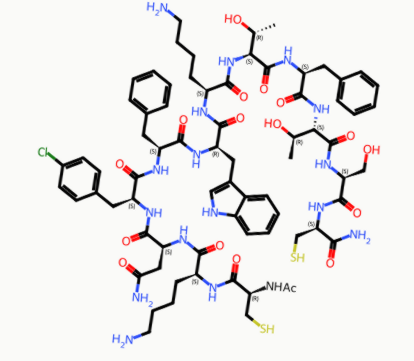 CC(=O)N[C@@H](CS)C(=O)N[C@@H](CCCCN)C(=O)N[C@@H](CC(N)=O)C(=O)N[C@@H](Cc1ccc(Cl)cc1)C(=O)N[C@@H](Cc1ccccc1)C(=O)N[C@H](Cc1c[nH]c2ccccc12)C(=O)N[C@@H](CCCCN)C(=O)N[C@H](C(=O)N[C@@H](Cc1ccccc1)C(=O)N[C@H](C(=O)N[C@@H](CO)C(=O)N[C@H](CS)C(N)=O)[C@@H](C)O)[C@@H](C)O